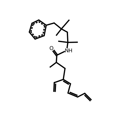 C=C/C=C\C=C(/C=C)CC(C)C(=O)NC(C)(C)CC(C)(C)Cc1ccccc1